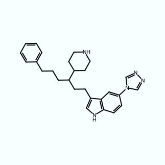 c1ccc(CCCC(CCc2c[nH]c3ccc(-n4cnnc4)cc23)C2CCNCC2)cc1